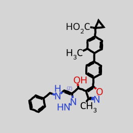 Cc1noc(-c2ccc(C3C=CC(C4(C(=O)O)CC4)=CC3C)cc2)c1C(O)/C(=C/NCc1ccccc1)N=N